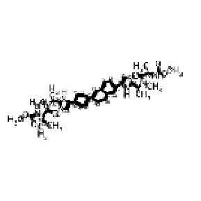 COC(=O)N[C@@H](C)C(=O)N(C)[C@@H](C)c1ncc(-c2ccc3cc(-c4ccc(-c5cnc([C@H](C)N(C)C(=O)[C@@H](NC(=O)OC)C(C)C)[nH]5)cc4)ccc3c2)[nH]1